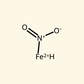 O=[N+]([O-])[FeH+2]